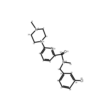 CN1CCN(c2cccc(C(=O)N(C)Cc3cccc(Cl)c3)n2)CC1